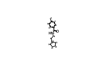 Cc1ccc(C(=O)NCCN2CCCC2)cc1